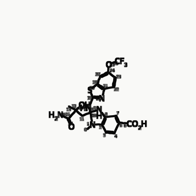 CN1c2ccc(C(=O)O)cc2NC1(CC(C)(O)C(N)=O)Nc1nc2ccc(OC(F)(F)F)cc2s1